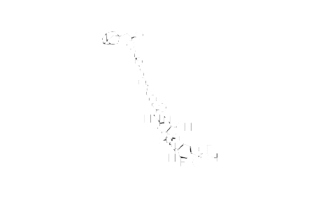 Cc1nc(NC(=O)COCCOCCOCCOC(=O)CC23CC4CC(C2)C(C4)C3)sc1S(=O)(=O)Nc1ccc(C(O)(C(F)(F)F)C(F)(F)F)cc1